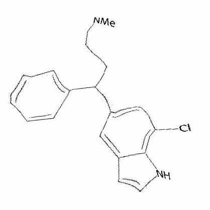 CNCCC(c1ccccc1)c1cc(Cl)c2[nH]ccc2c1